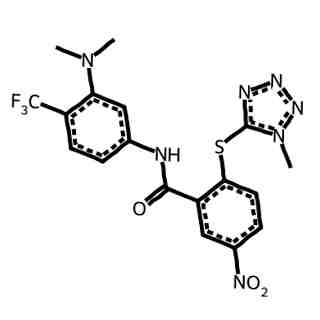 CN(C)c1cc(NC(=O)c2cc([N+](=O)[O-])ccc2Sc2nnnn2C)ccc1C(F)(F)F